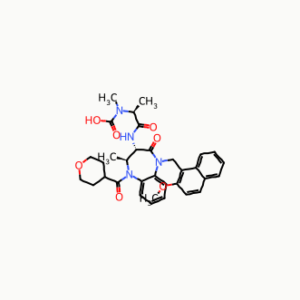 COc1ccc2ccccc2c1CN1C(=O)[C@@H](NC(=O)[C@H](C)N(C)C(=O)O)[C@H](C)N(C(=O)C2CCOCC2)c2ccccc21